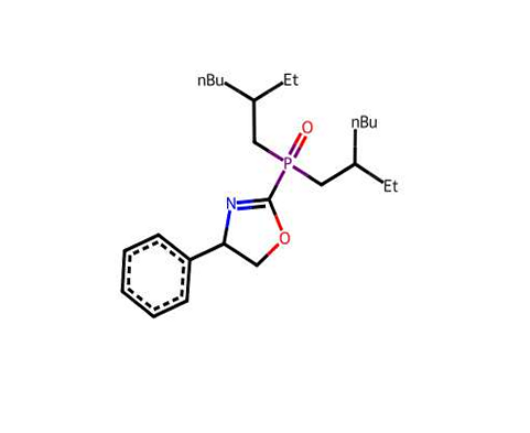 CCCCC(CC)CP(=O)(CC(CC)CCCC)C1=NC(c2ccccc2)CO1